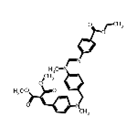 CCOC(=O)c1ccc(/N=C/N(C)c2ccc(CN(C)c3ccc(C=C(C(=O)OC)C(=O)OC)cc3)cc2)cc1